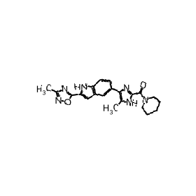 Cc1noc(-c2cc3cc(-c4nc(C(=O)N5CCCCC5)[nH]c4C)ccc3[nH]2)n1